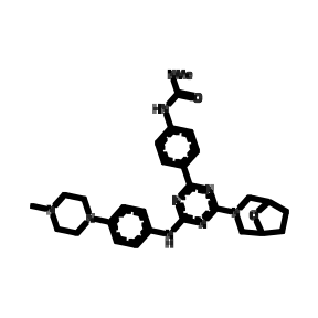 CNC(=O)Nc1ccc(-c2nc(Nc3ccc(N4CCN(C)CC4)cc3)nc(N3CC4CCC(C3)O4)n2)cc1